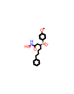 COc1ccc([S+]([O-])C(CCCCc2ccccc2)CC(=O)NO)cc1